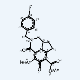 COC(=O)c1c2n3c(c(OC)c1=O)C(=O)N(Cc1ccc(F)cc1)CC3CC2